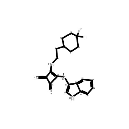 O=c1c(NCCC2CCC(F)(F)CC2)c(Nc2c[nH]c3ccccc23)c1=O